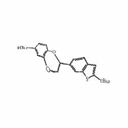 CC(C)(C)c1ccc2c(c1)OCC(c1ccc3cc(C(C)(C)C)sc3c1)O2